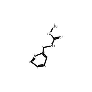 CC(C)(C)OC(=O)NCc1ccccn1